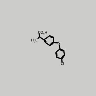 CC(C(=O)O)c1ccc(Sc2ccc(Cl)cc2)cc1